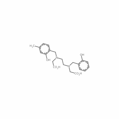 Cc1ccc(CN(CCN(CC(=O)O)Cc2ccccc2O)CC(=O)O)c(O)c1